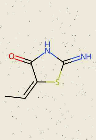 C/C=C1/SC(=N)NC1=O